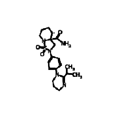 CC(C)C1=NCCCN1c1ccc(N2C[C@@]3(C(N)=O)[CH]CCCN3S2(=O)=O)cc1